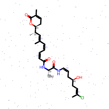 CC1=CC[C@@H]([C@@H](C)/C=C(C)/C=C\C=C/C(=O)N[C@H](C(=O)N/C=C\C[C@@H](O)C/C=C(\C)Cl)C(C)(C)C)OC1=O